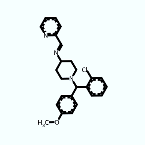 COc1ccc(C(c2ccccc2Cl)N2CCC(N=Cc3ccccn3)CC2)cc1